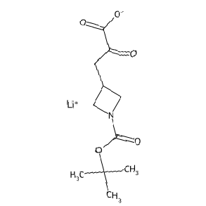 CC(C)(C)OC(=O)N1CC(CC(=O)C(=O)[O-])C1.[Li+]